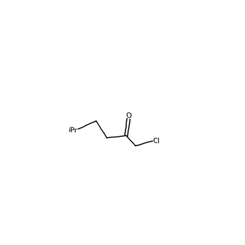 CC(C)CCC(=O)CCl